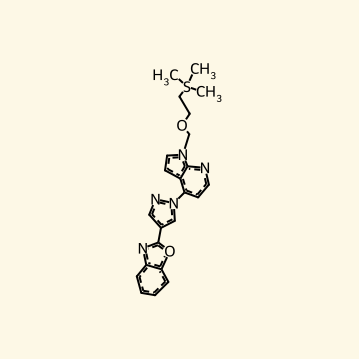 CS(C)(C)CCOCn1ccc2c(-n3cc(-c4nc5ccccc5o4)cn3)ccnc21